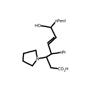 CCCCCC(O)C=CC(CCC)C(CC(=O)O)N1CCCC1